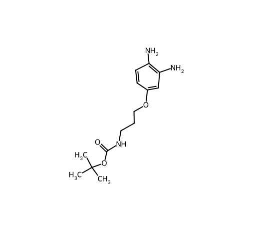 CC(C)(C)OC(=O)NCCCOc1ccc(N)c(N)c1